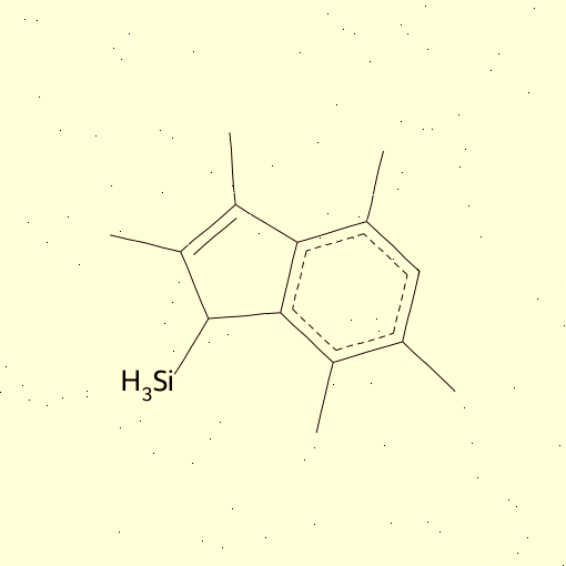 CC1=C(C)C([SiH3])c2c(C)c(C)cc(C)c21